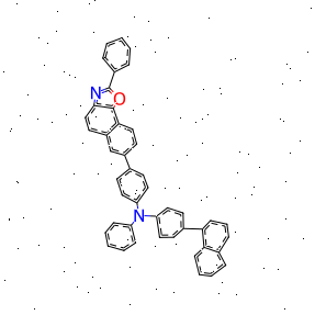 c1ccc(-c2nc3ccc4cc(-c5ccc(N(c6ccccc6)c6ccc(-c7cccc8ccccc78)cc6)cc5)ccc4c3o2)cc1